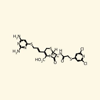 Nc1cc(SCC=CC2=C(C(=O)O)N3C(=O)[C@@H](NC(=O)CSc4cc(Cl)nc(Cl)c4)[C@H]3SC2)nc(N)n1